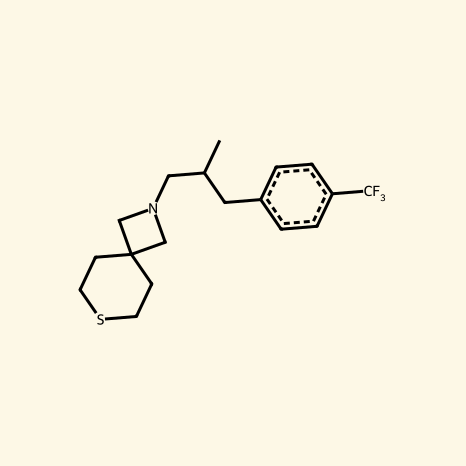 CC(Cc1ccc(C(F)(F)F)cc1)CN1CC2(CCSCC2)C1